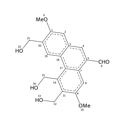 COc1cc2cc(C=O)c3cc(OC)c(CO)c(CO)c3c2cc1CO